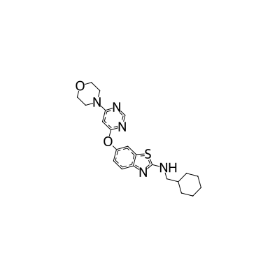 c1nc(Oc2ccc3nc(NCC4CCCCC4)sc3c2)cc(N2CCOCC2)n1